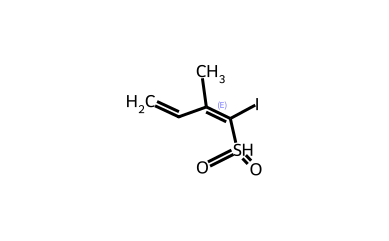 C=C/C(C)=C(/I)[SH](=O)=O